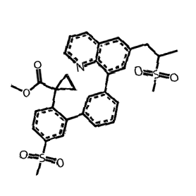 COC(=O)C1(c2ccc(S(C)(=O)=O)cc2-c2cccc(-c3cc(CC(C)S(C)(=O)=O)cc4cccnc34)c2)CC1